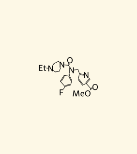 CCN1CCN(C(=O)N(Cc2ccc(C(=O)OC)cn2)c2ccc(F)cc2)CC1